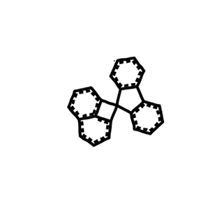 [c]1ccc2c(c1)C1(c3ccccc3-2)c2cccc3cccc1c23